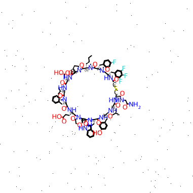 CCCC[C@H]1C(=O)N2CCC[C@@H]2C(=O)N[C@@H](CC(=O)O)C(=O)N[C@@H](C(C)C)C(=O)N(C)[C@@H](Cc2ccccc2)C(=O)N[C@@H](CCC(=O)O)C(=O)N2CCOC[C@@H]2C(=O)N[C@@H](Cc2c[nH]c3ccccc23)C(=O)N[C@@H](Cc2ccc(O)cc2)C(=O)N[C@@H](CC(C)C)C(=O)N[C@H](C(=O)NCC(N)=O)CSCC(=O)N[C@@H](Cc2cc(F)c(F)c(F)c2)C(=O)N(C)[C@@H](Cc2ccc(F)cc2)C(=O)N1C